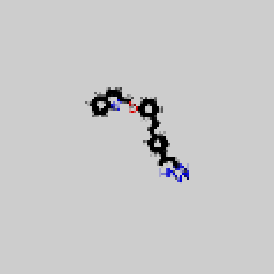 CC(Cc1nnn[nH]1)c1ccc(C=Cc2cccc(OCc3ccc4ccccc4n3)c2)cc1